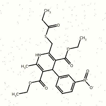 CCOC(=O)C1=C(C)NC(CSC(=O)CC)=C(C(=O)OCC)C1c1cccc([N+](=O)[O-])c1